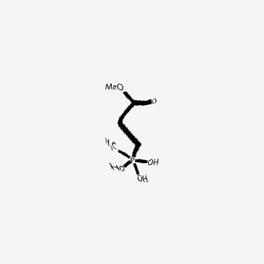 COC(=O)CCP(C)(O)(O)O